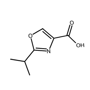 CC(C)c1nc(C(=O)O)co1